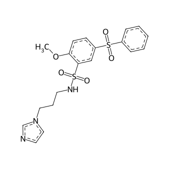 COc1ccc(S(=O)(=O)c2ccccc2)cc1S(=O)(=O)NCCCn1ccnc1